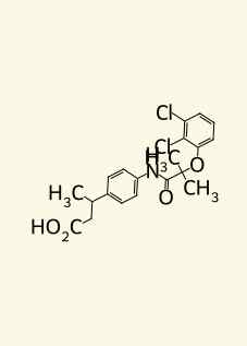 CC(CC(=O)O)c1ccc(NC(=O)C(C)(C)Oc2cccc(Cl)c2Cl)cc1